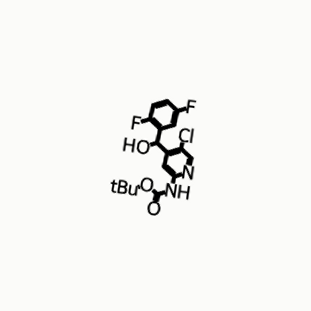 CC(C)(C)OC(=O)Nc1cc(C(O)c2cc(F)ccc2F)c(Cl)cn1